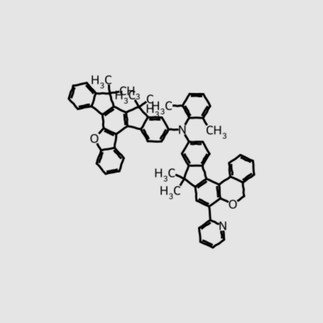 Cc1cccc(C)c1N(c1ccc2c(c1)C(C)(C)c1cc(-c3ccccn3)c3c(c1-2)-c1ccccc1CO3)c1ccc2c(c1)C(C)(C)c1c3c(c4oc5ccccc5c4c1-2)-c1ccccc1C3(C)C